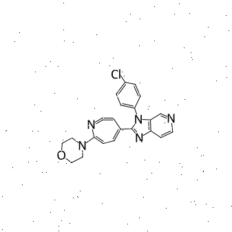 Clc1ccc(-n2c(C3=CC=C(N4CCOCC4)N=C=C3)nc3ccncc32)cc1